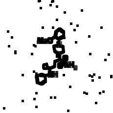 COc1ccccc1N1CCN(C(CCC(=O)Nc2ccccc2)S(N)(=O)=O)CC1